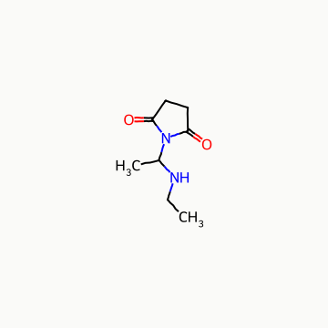 CCNC(C)N1C(=O)CCC1=O